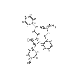 NC(=O)CCc1ccccc1C1C(CCCc2ccccc2)C(=O)N1c1ccc(F)cc1